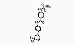 CCC1(CC)CN(c2ccc(NC(=O)[C@H]3CC[C@H](NS(=O)(=O)C(C)(C)C)CC3)cc2)CCO1